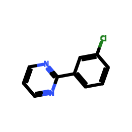 Clc1cccc(-c2ncccn2)c1